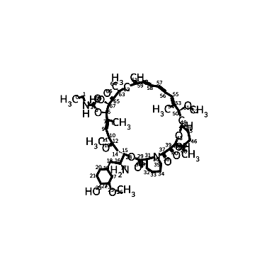 CCNC(=O)O[C@@H]1/C(C)=C/[C@@H](C)C(=O)C[C@@H]([C@H](N)C[C@@H]2CC[C@@H](O)[C@H](OC)C2)OC(=O)[C@@H]2CCCCN2C(=O)C(=O)[C@]2(O)O[C@@H](CC[C@H]2C)C[C@H](OC)/C(C)=C/C=C/C=C/[C@@H](C)C[C@@H](C)C(=O)[C@@H]1O